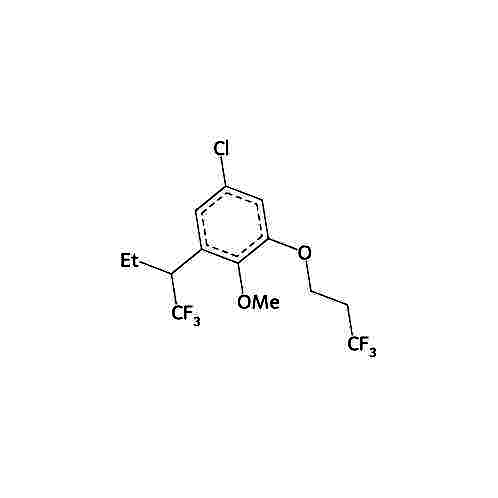 [CH2]CC(c1cc(Cl)cc(OCCC(F)(F)F)c1OC)C(F)(F)F